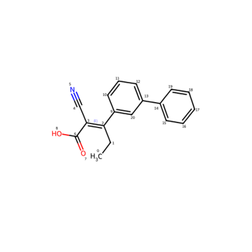 CC/C(=C(/C#N)C(=O)O)c1cccc(-c2ccccc2)c1